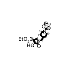 CCOC(=O)C1=C(O)C(=O)N(CC2CCN(C(=O)OC(C)(C)C)CC2)C1